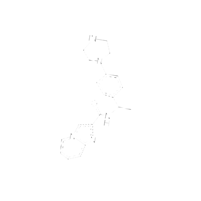 CC(NC(=O)c1cn2ccccc2n1)c1ccc(N2CCNCC2)cc1